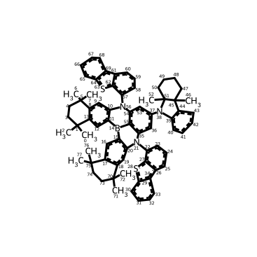 CC1(C)CCC(C)(C)c2cc3c(cc21)B1c2cc4c(cc2N(c2cccc5c2sc2ccccc25)c2cc(N5c6ccccc6C6(C)CCCCC56C)cc(c21)N3c1cccc2c1sc1ccccc12)C(C)(C)CCC4(C)C